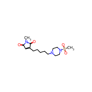 CN1C(=O)C=C(CCCCCN2CCN(S(C)(=O)=O)CC2)C1=O